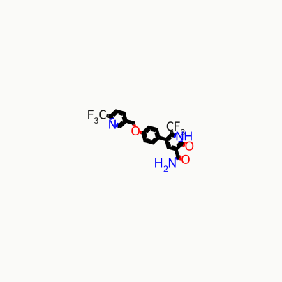 NC(=O)c1cc(-c2ccc(OCc3ccc(C(F)(F)F)nc3)cc2)c(C(F)(F)F)[nH]c1=O